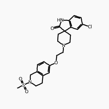 CS(=O)(=O)N1CCc2cc(OCCN3CCC4(CC3)C(=O)Nc3ccc(Cl)cc34)ccc2C1